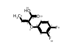 CC=C(Oc1ccc(F)c(F)c1)C(=O)O